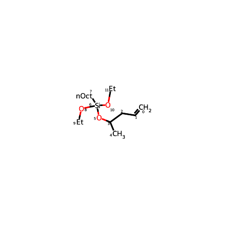 C=CCC(C)O[Si](CCCCCCCC)(OCC)OCC